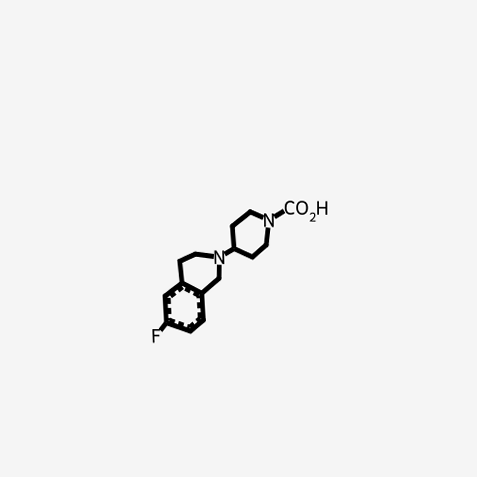 O=C(O)N1CCC(N2CCc3cc(F)ccc3C2)CC1